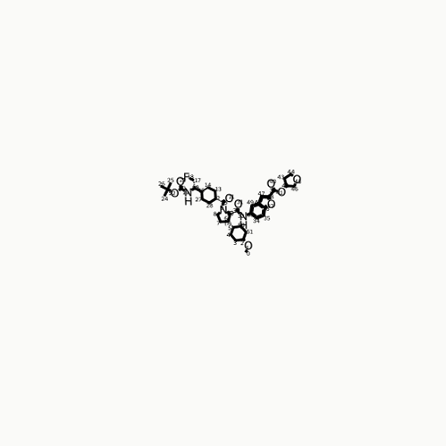 COC1CCC([C@@H]2CCN(C(=O)[C@H]3CC[C@H]([C@@H](CF)NC(=O)OC(C)(C)C)CC3)[C@@H]2C(=O)Nc2ccc3oc(C(=O)OC4CCOC4)cc3c2)CC1